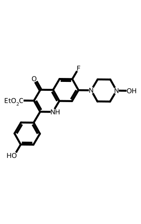 CCOC(=O)c1c(-c2ccc(O)cc2)[nH]c2cc(N3CCN(O)CC3)c(F)cc2c1=O